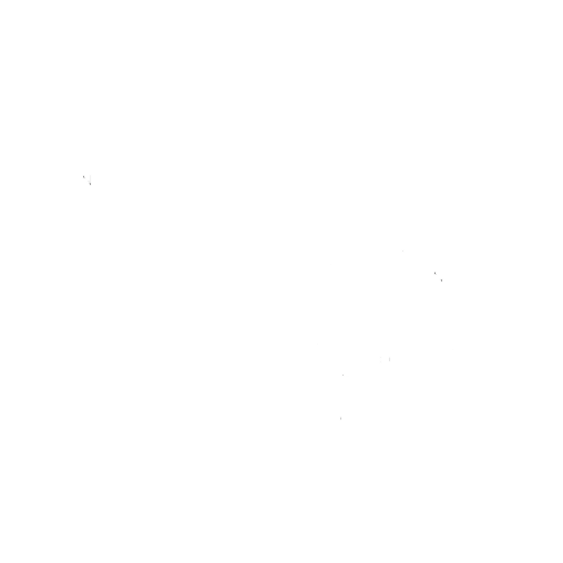 CN(C)c1ccc(C#CC2=CC3CC4(OC(=O)C=C24)C2CCCCN32)cc1